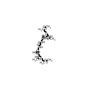 CC(=O)NC(COCC[C@@H](C)OC(C)=O)COP(=O)(O)OCCNC(=O)CC(=O)NCCOP(=O)(O)OCC(COCC[C@@H](C)OC(C)=O)NC(C)=O